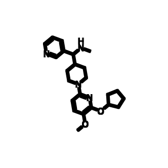 CNC(c1cccnc1)C1CCN(c2ccc(OC)c(OC3CCCC3)n2)CC1